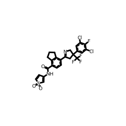 O=C(NC1=CS(=O)(=O)C=C1)c1ccc(C2=NCC(c3cc(Cl)c(F)c(Cl)c3)(C(F)(F)F)C2)c2c1CCC2